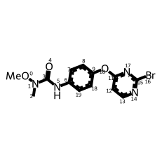 CON(C)C(=O)Nc1ccc(Oc2ccnc(Br)n2)cc1